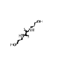 OCCCNC(=S)C(=S)NCCCO